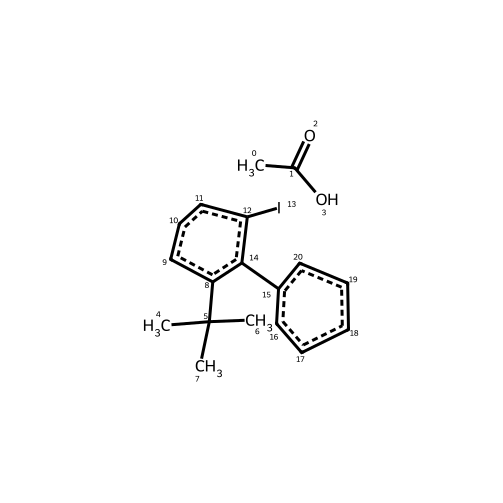 CC(=O)O.CC(C)(C)c1cccc(I)c1-c1ccccc1